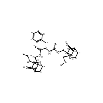 COC[C@@]1(COC(=O)N[C@@H](Cc2ccccc2)C(=O)OC[C@]2(COC)C(=O)C3CCN2CC3)C(=O)C2CCN1CC2